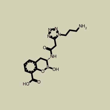 NCCCn1nnnc1CC(=O)N[C@H]1Cc2cccc(C(=O)O)c2OB1O